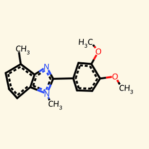 COc1ccc(-c2nc3c(C)cccc3n2C)cc1OC